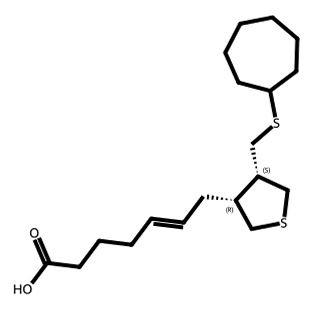 O=C(O)CCCC=CC[C@H]1CSC[C@H]1CSC1CCCCCC1